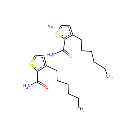 CCCCCCc1ccsc1C(N)=O.CCCCCCc1ccsc1C(N)=O.[Na]